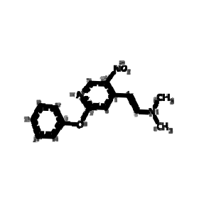 CN(C)C=Cc1cc(Oc2ccccc2)ncc1[N+](=O)[O-]